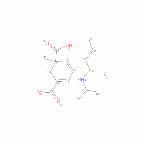 CC1(C(=O)O)C=CC=C(C(=O)O)C1.CCCCNC(C)C.Cl